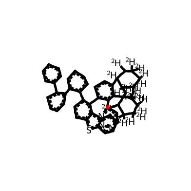 [2H]C1C([2H])([2H])C([2H])([2H])C([2H])([2H])C([2H])([2H])C1([2H])c1ccc(-c2c(-c3ccccc3-c3ccccc3-c3ccccc3)ccc3sc4ccccc4c23)c(-c2ccnnn2)c1C1([2H])C([2H])C([2H])([2H])C([2H])([2H])C([2H])([2H])C1([2H])[2H]